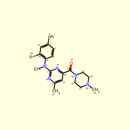 CCCc1ccc(N(CC)c2nc(C)cc(C(=O)N3CCN(C)CC3)n2)c(Br)c1